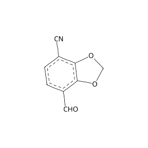 N#Cc1ccc(C=O)c2c1OCO2